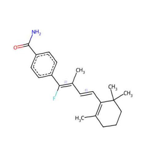 CC1=C(/C=C/C(C)=C(\F)c2ccc(C(N)=O)cc2)C(C)(C)CCC1